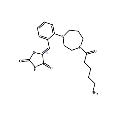 NCCCCC(=O)N1CCCN(c2ccccc2/C=C2\SC(=O)NC2=O)CC1